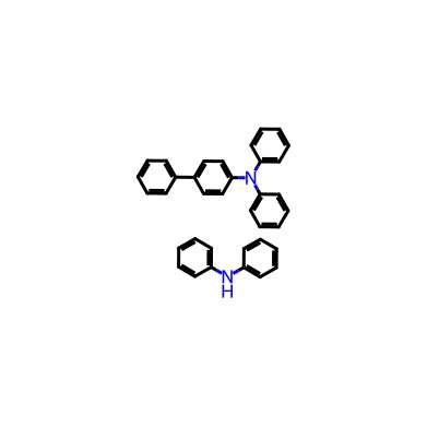 c1ccc(-c2ccc(N(c3ccccc3)c3ccccc3)cc2)cc1.c1ccc(Nc2ccccc2)cc1